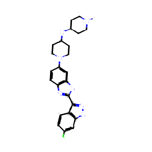 CN1CCC(NC2CCN(c3ccc4nc(-c5n[nH]c6cc(Cl)ccc56)[nH]c4c3)CC2)CC1